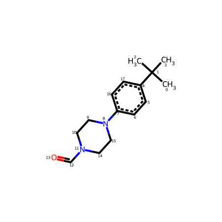 CC(C)(C)c1ccc(N2CCN(C=O)CC2)cc1